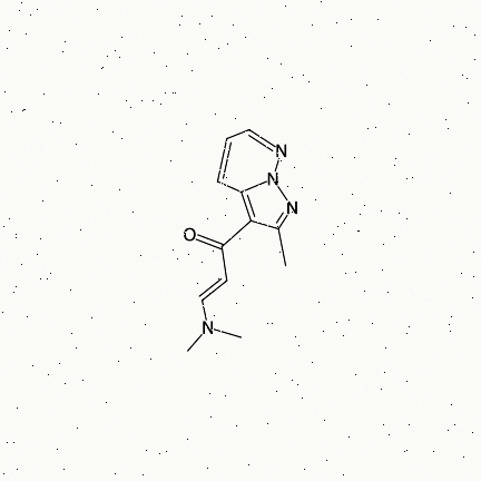 Cc1nn2ncccc2c1C(=O)C=CN(C)C